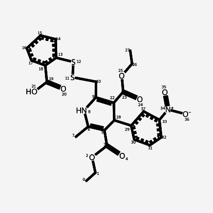 CCOC(=O)C1=C(C)NC(CSSc2ccccc2C(=O)O)=C(C(=O)OCC)C1c1cccc([N+](=O)[O-])c1